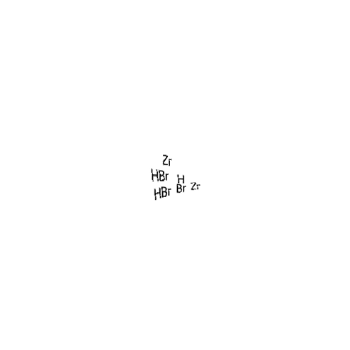 Br.Br.Br.[Zr].[Zr]